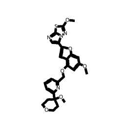 COc1cc(OCc2cccc(C3(OC)CCOCC3)n2)c2cc(-c3cnc4sc(OC)nn34)oc2c1